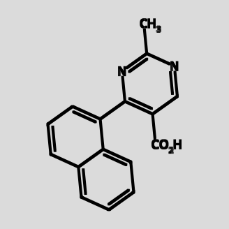 Cc1ncc(C(=O)O)c(-c2cccc3ccccc23)n1